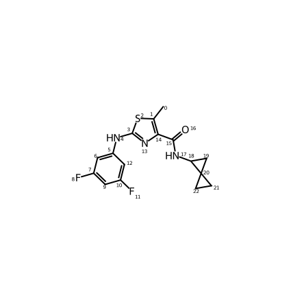 Cc1sc(Nc2cc(F)cc(F)c2)nc1C(=O)NC1CC12CC2